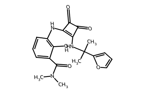 CN(C)C(=O)c1cccc(Nc2c(NC(C)(C)c3ccco3)c(=O)c2=O)c1O